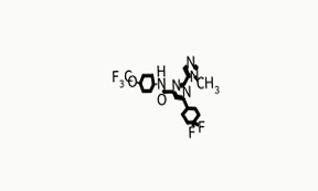 Cn1cncc1-c1nc(C(=O)N[C@H]2CC[C@H](OC(F)(F)F)CC2)cc(C2CCC(F)(F)CC2)n1